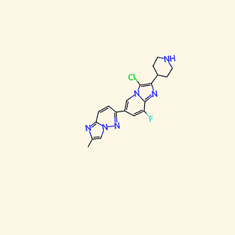 Cc1cn2nc(-c3cc(F)c4nc(C5CCNCC5)c(Cl)n4c3)ccc2n1